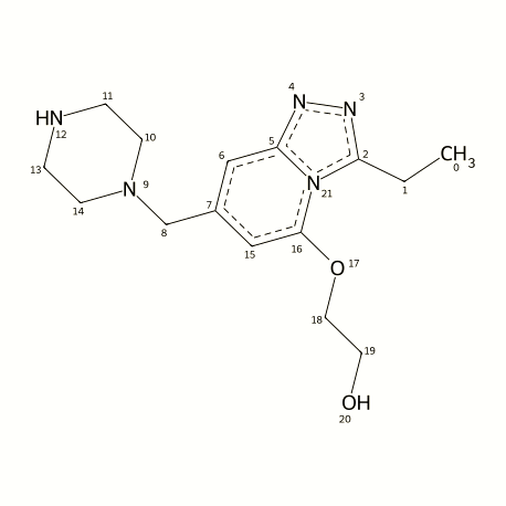 CCc1nnc2cc(CN3CCNCC3)cc(OCCO)n12